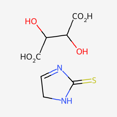 O=C(O)C(O)C(O)C(=O)O.S=C1N=CCN1